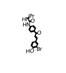 CC(C)NC(=O)Nc1ccc(C(=O)/C=C/c2ccc(O)c(Br)c2)cc1